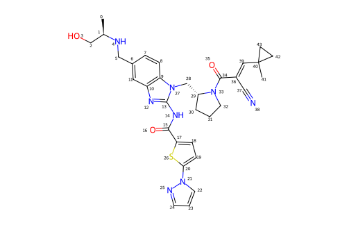 C[C@H](CO)NCc1ccc2c(c1)nc(NC(=O)c1ccc(-n3cccn3)s1)n2C[C@H]1CCCN1C(=O)C(C#N)=CC1(C)CC1